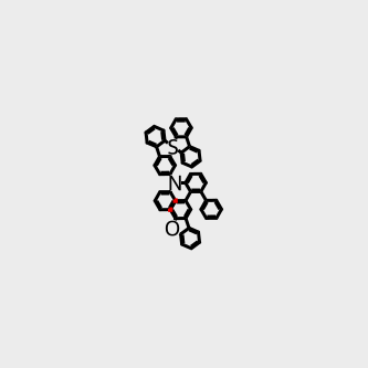 c1ccc(-c2cccc(N(c3ccccc3)c3ccc4c(c3)S3(c5ccccc5-c5ccccc53)c3ccccc3-4)c2-c2ccc3oc4ccccc4c3c2)cc1